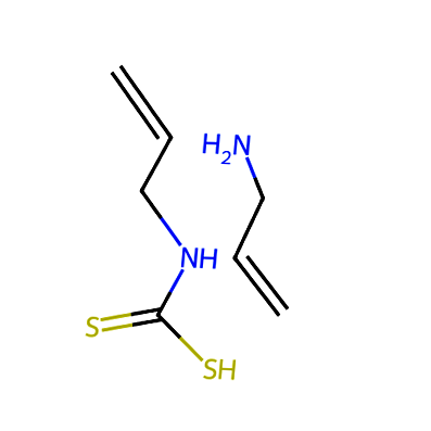 C=CCN.C=CCNC(=S)S